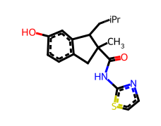 CC(C)CC1c2cc(O)ccc2CC1(C)C(=O)Nc1nccs1